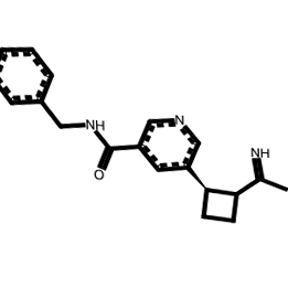 CC(=N)C1CC[C@H]1c1cncc(C(=O)NCc2ccccc2)c1